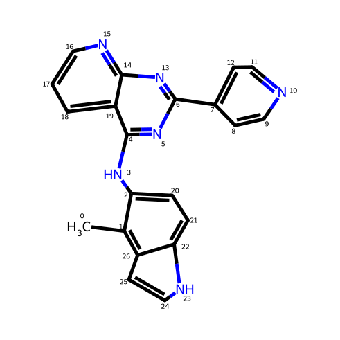 Cc1c(Nc2nc(-c3ccncc3)nc3ncccc23)ccc2[nH]ccc12